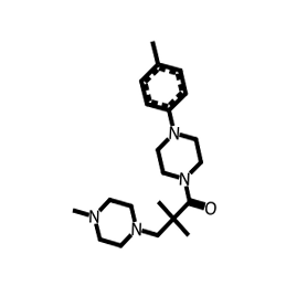 Cc1ccc(N2CCN(C(=O)C(C)(C)CN3CCN(C)CC3)CC2)cc1